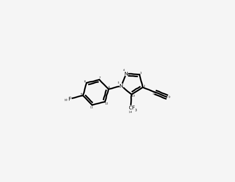 C#Cc1cnn(-c2ccc(F)cc2)c1C(F)(F)F